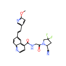 COc1ccc(C=Cc2ccc3nccc(C(=O)NCC(=O)N4CC(F)(F)CC4C#N)c3c2)cn1